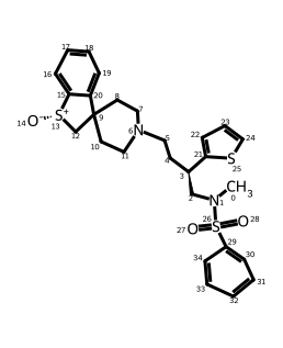 CN(C[C@@H](CCN1CCC2(CC1)C[S@+]([O-])c1ccccc12)c1cccs1)S(=O)(=O)c1ccccc1